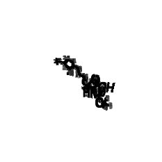 CC(C)(C)OC(=O)N[C@H](C(=O)O)C(C)(C)SCCCc1ccc(F)cc1